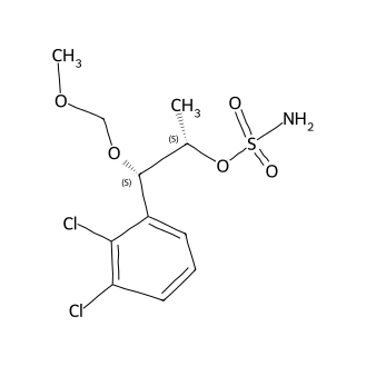 COCO[C@@H](c1cccc(Cl)c1Cl)[C@H](C)OS(N)(=O)=O